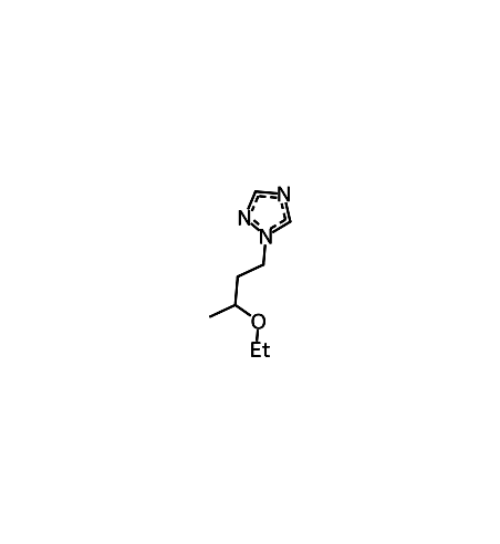 CCOC(C)CCn1cncn1